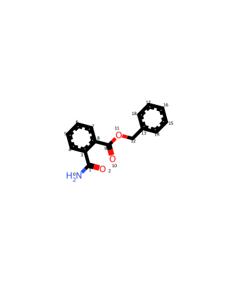 NC(=O)c1ccccc1C(=O)OCc1ccccc1